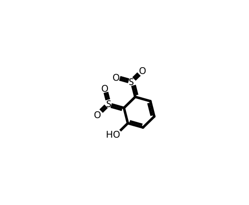 O=S(=O)=C1C=CC=C(O)C1=S(=O)=O